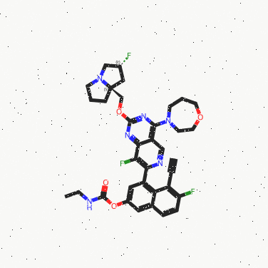 C#Cc1c(F)ccc2cc(OC(=O)NCC)cc(-c3ncc4c(N5CCCOCC5)nc(OC[C@@]56CCCN5C[C@H](F)C6)nc4c3F)c12